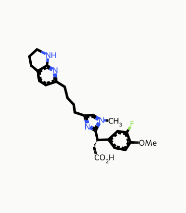 COc1ccc([C@H](CC(=O)O)c2nc(CCCCc3ccc4c(n3)NCCC4)cn2C)cc1F